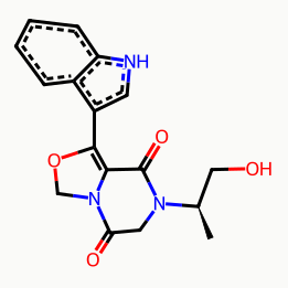 C[C@H](CO)N1CC(=O)N2COC(c3c[nH]c4ccccc34)=C2C1=O